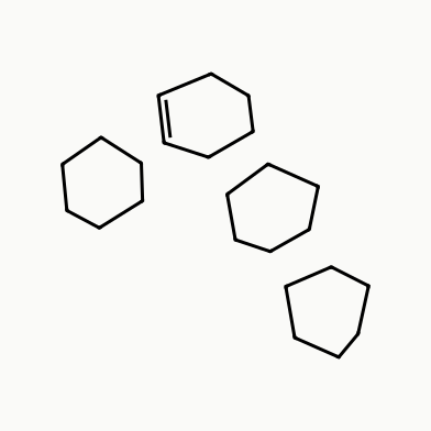 C1=CCCCC1.C1CCCCC1.C1CCCCC1.C1CCCCC1